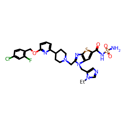 CCn1cncc1Cn1c(CN2CCC(c3cccc(OCc4ccc(Cl)cc4F)n3)CC2)nc2sc(C(=O)NS(N)(=O)=O)cc21